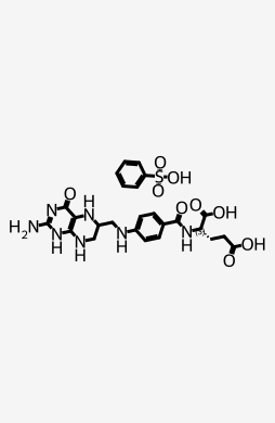 Nc1nc(=O)c2c([nH]1)NCC(CNc1ccc(C(=O)N[C@@H](CCC(=O)O)C(=O)O)cc1)N2.O=S(=O)(O)c1ccccc1